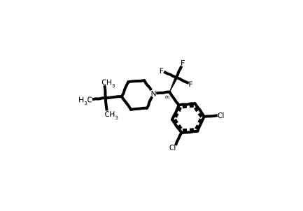 CC(C)(C)C1CCN([C@H](c2cc(Cl)cc(Cl)c2)C(F)(F)F)CC1